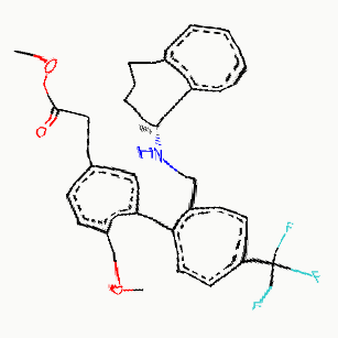 COC(=O)Cc1ccc(OC)c(-c2ccc(C(F)(F)F)cc2CN[C@@H]2CCc3ccccc32)c1